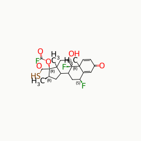 C[C@@H]1CC2C3C[C@H](F)C4=CC(=O)C=CC4(C)[C@@]3(F)[C@@H](O)CC2(C)[C@@]1(OC(=O)F)C(=O)S